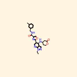 CCn1ncc2c(NC3CCOC(=O)C3)c(-c3nc(C(=O)NCc4cccc(C)c4)co3)cnc21